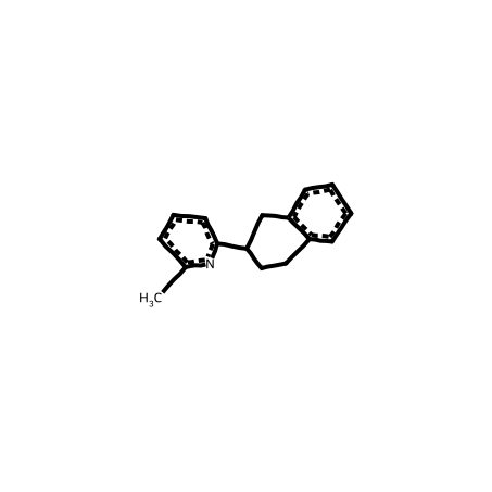 Cc1cccc(C2CCc3ccccc3C2)n1